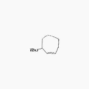 [CH2]C(CC)C1C=CCCCC1